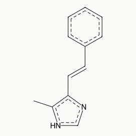 Cc1[nH]cnc1C=Cc1ccccc1